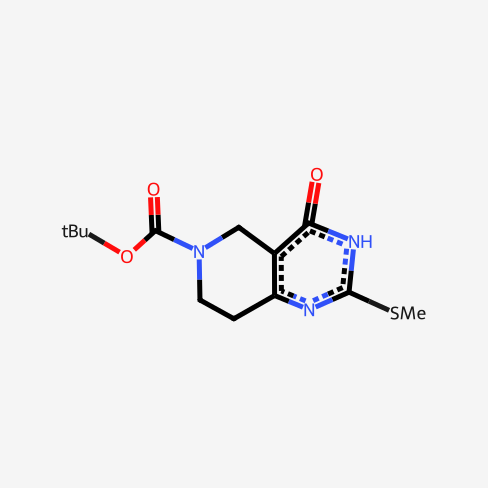 CSc1nc2c(c(=O)[nH]1)CN(C(=O)OC(C)(C)C)CC2